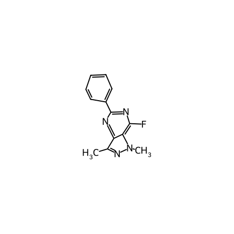 Cc1nn(C)c2c(F)nc(-c3ccccc3)nc12